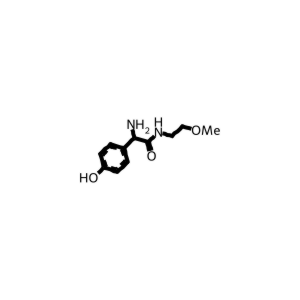 COCCNC(=O)C(N)c1ccc(O)cc1